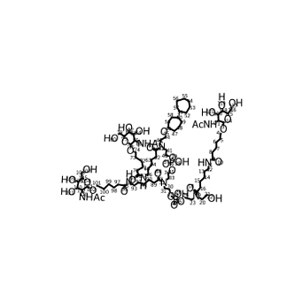 CC(=O)NC1C(OCCCCCC(=O)NCCCCCC(=O)N(CCO)CCOP(=O)(O)OCCN(CCOP(=O)(O)OCCN(CCOC2CCC[C@H](C3CCCCCC3)CC2)C(=O)CCCCCNC(=O)CCCCCOC2OC(CO)C(O)C(O)C2NC(C)=O)C(=O)CCCCCNC(=O)CCCCCOC2OC(CO)C(O)C(O)C2NC(C)=O)OC(CO)C(O)C1O